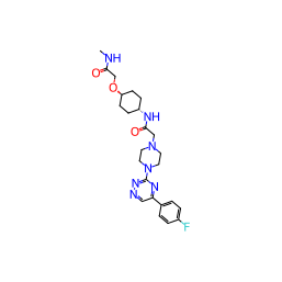 CNC(=O)CO[C@H]1CC[C@H](NC(=O)CN2CCN(c3nncc(-c4ccc(F)cc4)n3)CC2)CC1